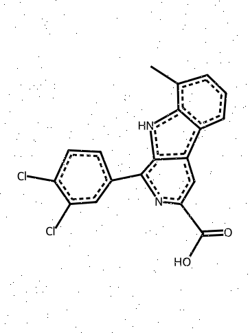 Cc1cccc2c1[nH]c1c(-c3ccc(Cl)c(Cl)c3)nc(C(=O)O)cc12